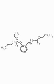 CCCOC(=O)NN=Cc1ccccc1OP(=O)(OCC)SCCC